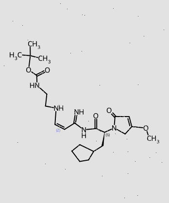 COC1=CC(=O)N([C@@H](CC2CCCC2)C(=O)NC(=N)/C=C\NCCNC(=O)OC(C)(C)C)C1